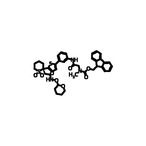 CN(CC(=O)Nc1cccc(-c2ccc([C@@]3(CC(=O)NOC4CCCCO4)CCCCS3(=O)=O)s2)c1)C(=O)OCC1c2ccccc2-c2ccccc21